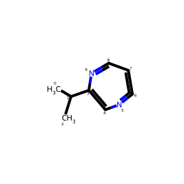 CC(C)C1=CN=C=CC=N1